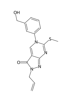 C=CCn1nc2nc(SC)n(-c3cccc(CO)c3)cc-2c1=O